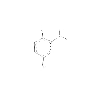 CC[C@H](N)c1cc(C#N)ccc1F